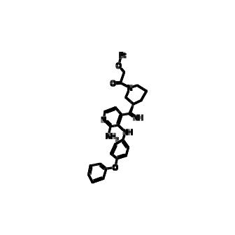 CCOCC(=O)N1CCC[C@@H](C(=N)c2ccnc(N)c2Nc2ccc(Oc3ccccc3)cc2)C1